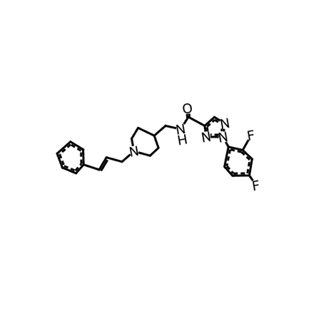 O=C(NCC1CCN(C/C=C/c2ccccc2)CC1)c1cnn(-c2ccc(F)cc2F)n1